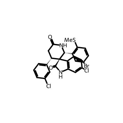 CSc1ccc(Br)cc1[C@H]1NC(=O)C[C@@H](c2cccc(Cl)c2)[C@]12C(=O)Nc1cc(Cl)ccc12